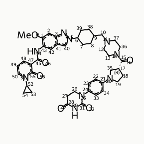 COc1cc2nn(C3CCC(CN4CCN(C(=O)[C@@H]5CCN(c6ccc(N7CCC(=O)NC7=O)cc6)C5)CC4)CC3)cc2cc1NC(=O)c1cccn(C2CC2)c1=O